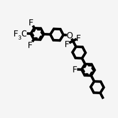 CC1CCC(c2ccc(C3CCC(C(F)(F)OC4CCC(c5cc(F)c(C(F)(F)F)c(F)c5)CC4)CC3)c(F)c2)CC1